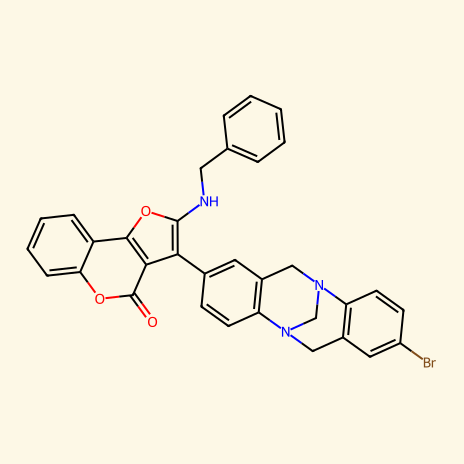 O=c1oc2ccccc2c2oc(NCc3ccccc3)c(-c3ccc4c(c3)CN3CN4Cc4cc(Br)ccc43)c12